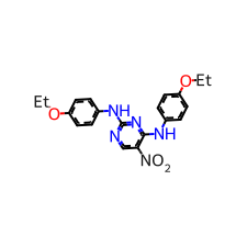 CCOc1ccc(Nc2ncc([N+](=O)[O-])c(Nc3ccc(OCC)cc3)n2)cc1